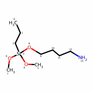 CCC[Si](OC)(OC)OCCCCN